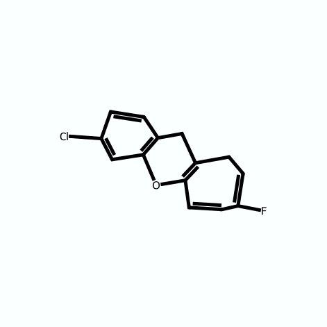 FC1=CCC2=C(C=C1)Oc1cc(Cl)ccc1C2